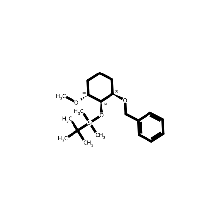 CO[C@@H]1CCC[C@@H](OCc2ccccc2)[C@H]1O[Si](C)(C)C(C)(C)C